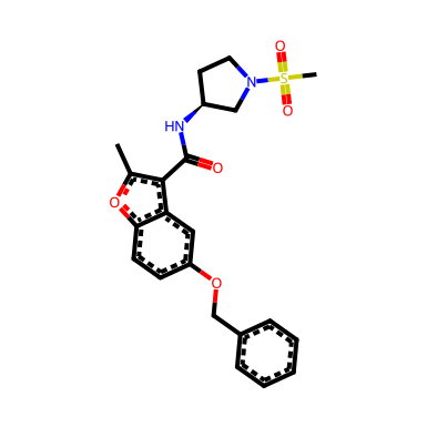 Cc1oc2ccc(OCc3ccccc3)cc2c1C(=O)N[C@H]1CCN(S(C)(=O)=O)C1